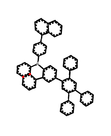 c1ccc(-c2cc(-c3ccccc3)c(-c3ccc(N(c4ccccc4)c4ccc(-c5cccc6ccccc56)cc4)c(-c4ccccc4)c3)cc2-c2ccccc2)cc1